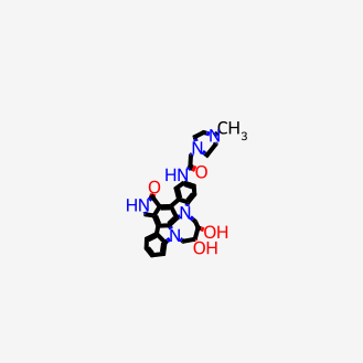 CN1CCN(CC(=O)Nc2ccc3c(c2)c2c4c(c5c6ccccc6n6c5c2n3CC(O)C(O)C6)CNC4=O)CC1